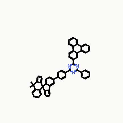 CC1(C)c2ccccc2C2(c3ccccc3-c3cc(-c4ccc(-c5nc(-c6ccccc6)nc(-c6ccc7c8ccccc8c8ccccc8c7c6)n5)cc4)ccc32)c2ccccc21